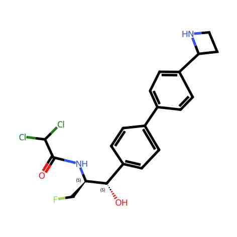 O=C(N[C@H](CF)[C@@H](O)c1ccc(-c2ccc(C3CCN3)cc2)cc1)C(Cl)Cl